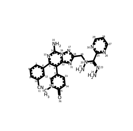 Cn1cc(-c2c(-c3cccc(C#N)c3)nc(N)n3nc(CN(N)/C(=N\N)c4ncccn4)nc23)ccc1=O